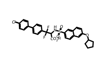 O=C(O)C(NS(=O)(=O)c1ccc2cc(OC3CCCC3)ccc2c1)C(F)(F)c1ccc(-c2ccc(Cl)cc2)cc1